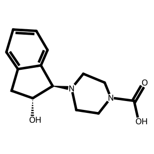 O=C(O)N1CCN([C@@H]2c3ccccc3C[C@H]2O)CC1